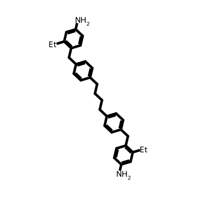 CCc1cc(N)ccc1Cc1ccc(CCCCc2ccc(Cc3ccc(N)cc3CC)cc2)cc1